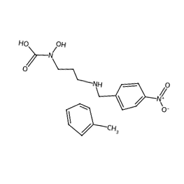 Cc1ccccc1.O=C(O)N(O)CCCNCc1ccc([N+](=O)[O-])cc1